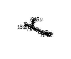 CC(C)(C)OC(=O)CCOCC(COCCC(=O)OC(C)(C)C)NCCOCCOCCOCC(=O)Nc1ccccc1